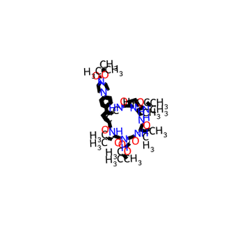 CC[C@H](C)[C@@H]1NC(=O)[C@H](CC(=O)OC(C)(C)C)NC(=O)[C@H](CC(C)C)NC(=O)c2ccc(-c3ccc(N4CCN(C(=O)OC(C)(C)C)CC4)cc3)c(c2)CNC(=O)[C@@H]2CCCN2C(C(=O)NC(C)(C)C)[C@H](C)NC1=O